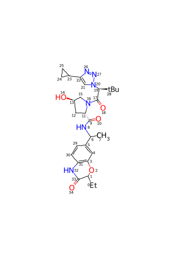 CCC1Oc2cc(C(C)NC(=O)[C@@H]3C[C@@H](O)CN3C(=O)[C@@H](n3cc(C4CC4)nn3)C(C)(C)C)ccc2NC1=O